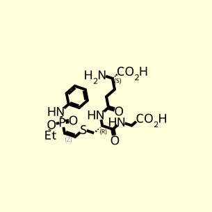 CCOP(=O)(/C=C\SC[C@H](NC(=O)CC[C@H](N)C(=O)O)C(=O)NCC(=O)O)Nc1ccccc1